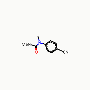 CNC(=O)N(C)c1ccc(C#N)cc1